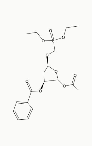 CCOP(=O)(CO[C@@H]1C[C@H](OC(=O)c2ccccc2)C(OC(C)=O)O1)OCC